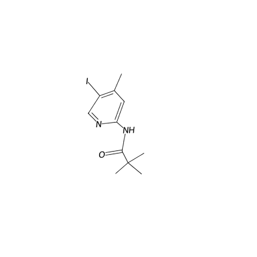 Cc1cc(NC(=O)C(C)(C)C)ncc1I